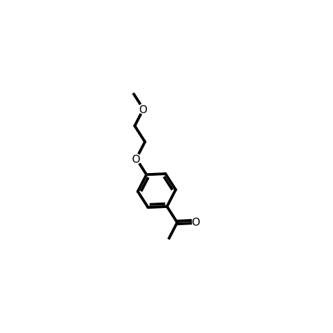 COCCOc1ccc(C(C)=O)cc1